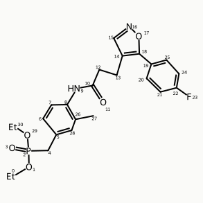 CCOP(=O)(Cc1ccc(NC(=O)CCc2cnoc2-c2ccc(F)cc2)c(C)c1)OCC